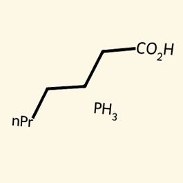 CCCCCCC(=O)O.P